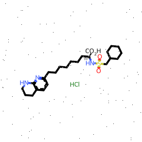 Cl.O=C(O)[C@H](CCCCCCCc1ccc2c(n1)NCCC2)NS(=O)(=O)CC1CCCCC1